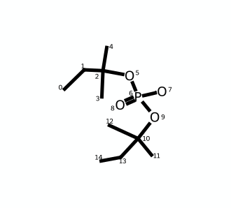 CCC(C)(C)OP([O])(=O)OC(C)(C)CC